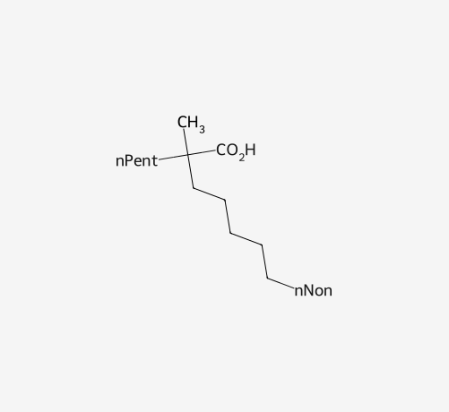 CCCCCCCCCCCCCCC(C)(CCCCC)C(=O)O